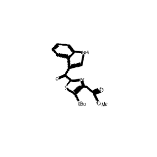 COC(=O)c1nc(C(=O)c2c[nH]c3ccccc23)sc1C(C)(C)C